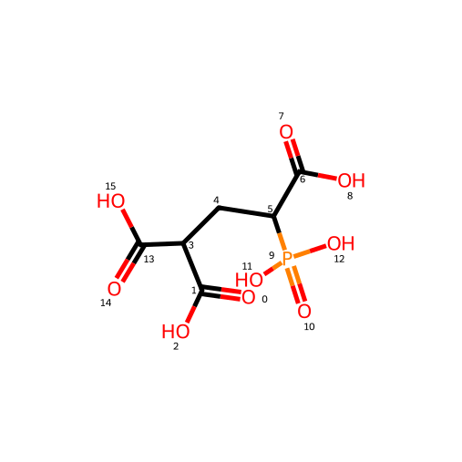 O=C(O)C(CC(C(=O)O)P(=O)(O)O)C(=O)O